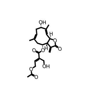 C=C1C(=O)O[C@@H]2/C=C(\C)[C@@H](O)C/C=C(\C)C[C@@H](OC(=O)/C(=C/COC(C)=O)CO)[C@@H]12